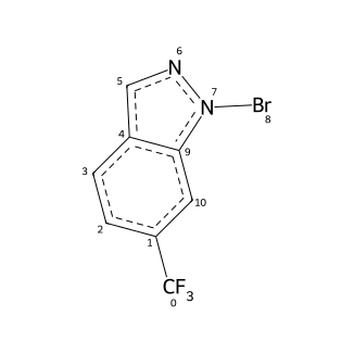 FC(F)(F)c1ccc2cnn(Br)c2c1